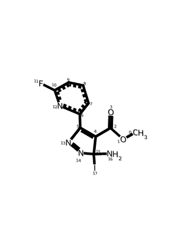 COC(=O)C1=C(c2cccc(F)n2)N=NC1(N)I